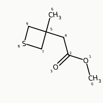 COC(=O)CC1(C)CSC1